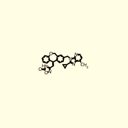 Cc1ccnc2c1nc(C1CC1)n2Cc1ccc2c(c1)COc1ccccc1C2=Cc1noc(=O)[nH]1